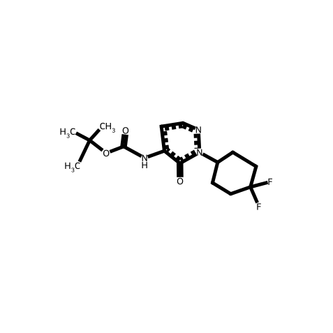 CC(C)(C)OC(=O)Nc1ccnn(C2CCC(F)(F)CC2)c1=O